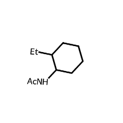 CCC1CCCCC1NC(C)=O